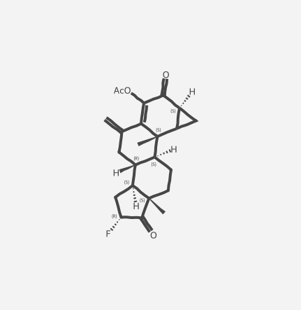 C=C1C[C@H]2[C@@H]3C[C@@H](F)C(=O)[C@@]3(C)CC[C@@H]2[C@]2(C)C1=C(OC(C)=O)C(=O)[C@H]1CC12